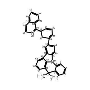 CC1(C)c2ccccc2-n2c3ccc(C4=CC=C[C](c5nccc6ccccc56)C4)cc3c3cccc1c32